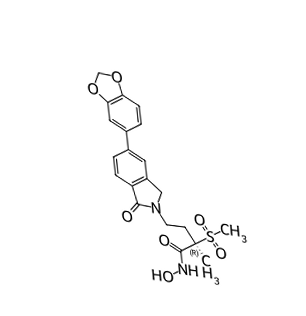 C[C@@](CCN1Cc2cc(-c3ccc4c(c3)OCO4)ccc2C1=O)(C(=O)NO)S(C)(=O)=O